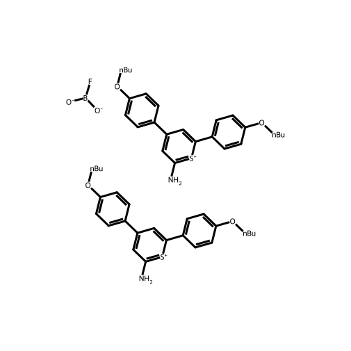 CCCCOc1ccc(-c2cc(N)[s+]c(-c3ccc(OCCCC)cc3)c2)cc1.CCCCOc1ccc(-c2cc(N)[s+]c(-c3ccc(OCCCC)cc3)c2)cc1.[O-]B([O-])F